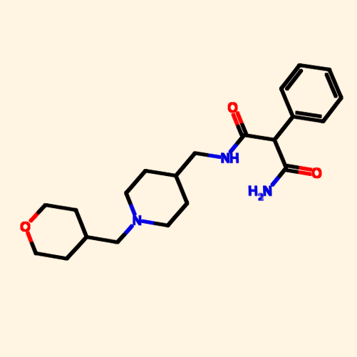 NC(=O)C(C(=O)NCC1CCN(CC2CCOCC2)CC1)c1ccccc1